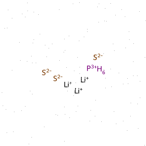 [Li+].[Li+].[Li+].[PH6+3].[S-2].[S-2].[S-2]